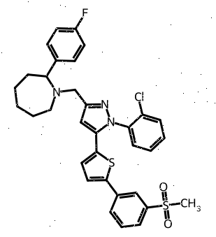 CS(=O)(=O)c1cccc(-c2ccc(-c3cc(CN4CCCCCC4c4ccc(F)cc4)nn3-c3ccccc3Cl)s2)c1